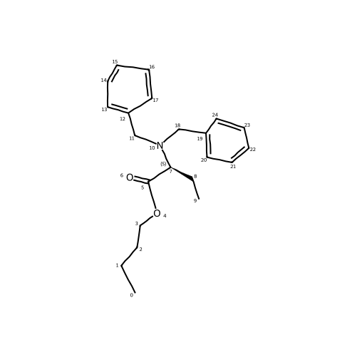 CCCCOC(=O)[C@H](CC)N(Cc1ccccc1)Cc1ccccc1